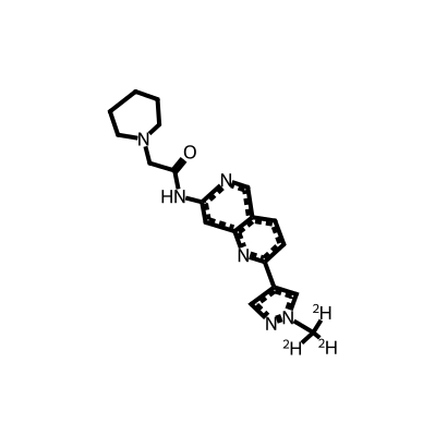 [2H]C([2H])([2H])n1cc(-c2ccc3cnc(NC(=O)CN4CCCCC4)cc3n2)cn1